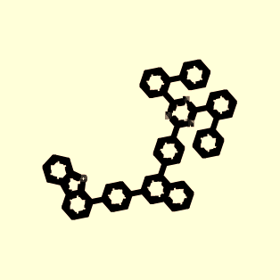 c1ccc(-c2ccccc2-c2nc(-c3ccc(-c4cc(-c5ccc(-c6cccc7c6oc6ccccc67)cc5)cc5ccccc45)cc3)nc(-c3ccccc3-c3ccccc3)n2)cc1